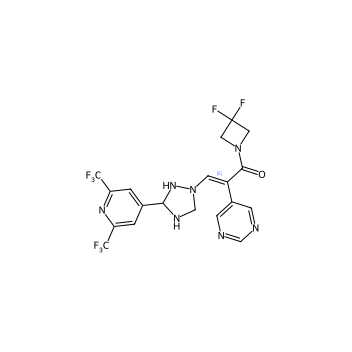 O=C(/C(=C/N1CNC(c2cc(C(F)(F)F)nc(C(F)(F)F)c2)N1)c1cncnc1)N1CC(F)(F)C1